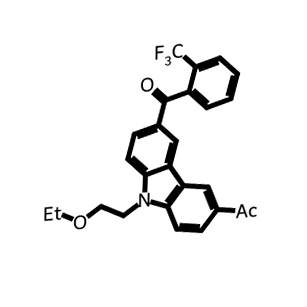 CCOCCn1c2ccc(C(C)=O)cc2c2cc(C(=O)c3ccccc3C(F)(F)F)ccc21